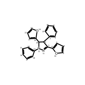 c1ccc(C2C(c3ccco3)=NN(c3ccccc3)C2c2ccco2)cc1